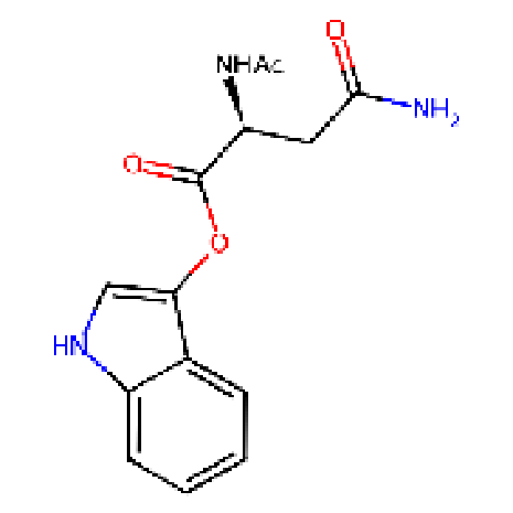 CC(=O)N[C@@H](CC(N)=O)C(=O)Oc1c[nH]c2ccccc12